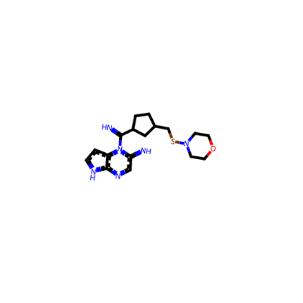 N=C(C1CCC(CSN2CCOCC2)C1)n1c(=N)cnc2[nH]ccc21